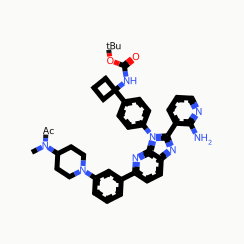 CC(=O)N(C)C1CCN(c2cccc(-c3ccc4nc(-c5cccnc5N)n(-c5ccc(C6(NC(=O)OC(C)(C)C)CCC6)cc5)c4n3)c2)CC1